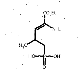 CCOC(=O)C(N)=CC(C)CP(=O)(O)O